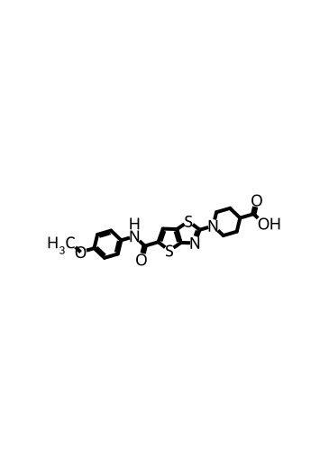 COc1ccc(NC(=O)c2cc3sc(N4CCC(C(=O)O)CC4)nc3s2)cc1